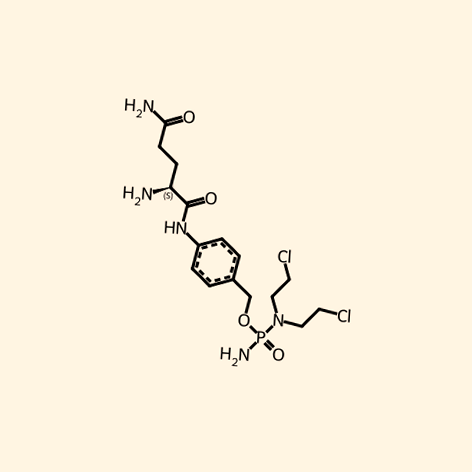 NC(=O)CC[C@H](N)C(=O)Nc1ccc(COP(N)(=O)N(CCCl)CCCl)cc1